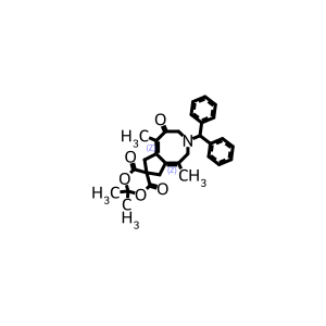 C/C1=C2\CC3(C\C2=C(/C)C(=O)CN(C(c2ccccc2)c2ccccc2)C1)C(=O)OC(C)(C)OC3=O